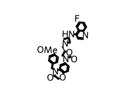 COc1ccc(CN2C(=O)COc3ccc(N4C[C@@H](CN5CC(Nc6ccnc7ccc(F)cc67)C5)OC4=O)cc32)cc1